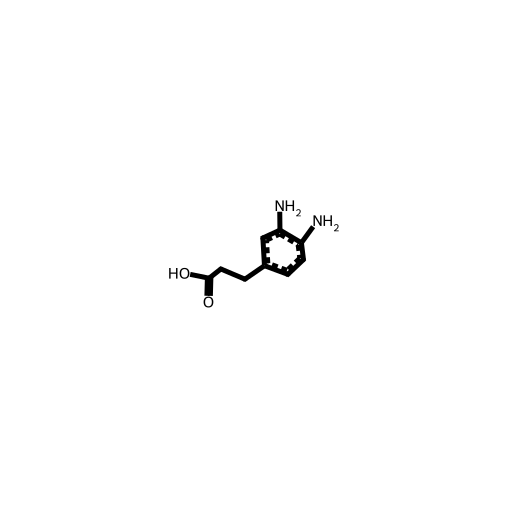 Nc1ccc(CCC(=O)O)cc1N